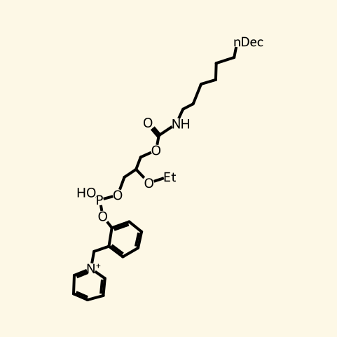 CCCCCCCCCCCCCCCCNC(=O)OCC(COP(O)Oc1ccccc1C[n+]1ccccc1)OCC